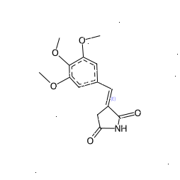 COc1cc(/C=C2\CC(=O)NC2=O)cc(OC)c1OC